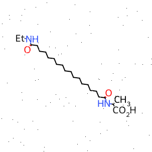 CCNC(=O)CCCCCCCCCCCCCCCCC(=O)NC(C)C(=O)O